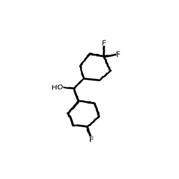 OC(C1CCC(F)CC1)C1CCC(F)(F)CC1